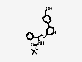 CC(C)(C)OC(=O)NC(COc1cncc(-c2ccc(CO)cc2)c1)c1ccccc1